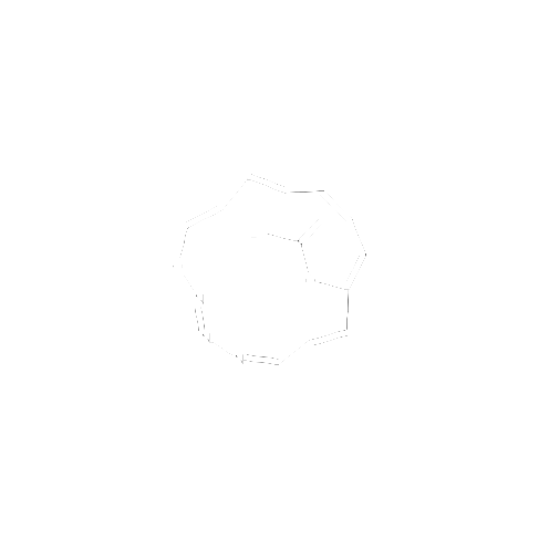 CCC(=O)OC1=C\C=C/C=C/C=C/O/N=N/N=C\C=C\1